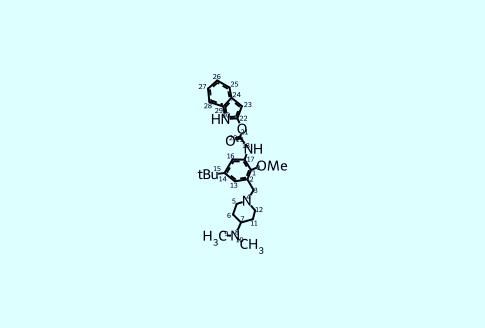 COc1c(CN2CCC(N(C)C)CC2)cc(C(C)(C)C)cc1NC(=O)Oc1cc2ccccc2[nH]1